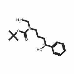 CC(C)(C)OC(=O)N(CN)CCC[C@H](O)c1ccccc1